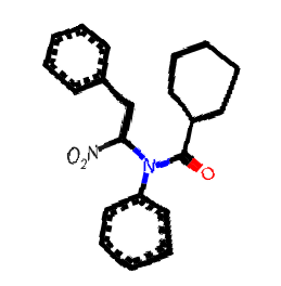 O=C(C1CCCCC1)N(c1ccccc1)C(Cc1ccccc1)[N+](=O)[O-]